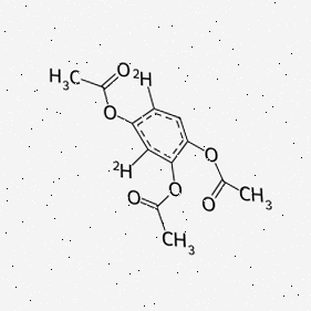 [2H]c1cc(OC(C)=O)c(OC(C)=O)c([2H])c1OC(C)=O